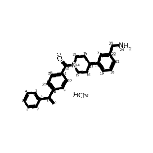 CC(c1ccccc1)c1ccc(C(=O)N2CCC(c3cccc(CN)c3)CC2)cc1.Cl